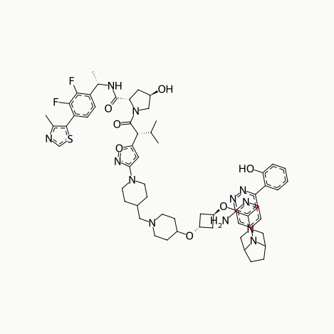 Cc1ncsc1-c1ccc([C@H](C)NC(=O)[C@@H]2C[C@@H](O)CN2C(=O)[C@@H](c2cc(N3CCC(CN4CCC(O[C@H]5C[C@H](Oc6cc(N7C8CCC7CN(c7cc(-c9ccccc9O)nnc7N)C8)ccn6)C5)CC4)CC3)no2)C(C)C)c(F)c1F